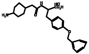 Cl.NC1CCC(CC(=O)NC(Cc2ccc(OCc3ccccc3)cc2)C(=O)O)CC1